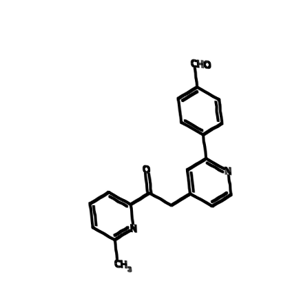 Cc1cccc(C(=O)Cc2ccnc(-c3ccc(C=O)cc3)c2)n1